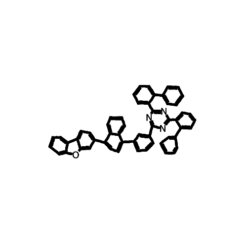 c1ccc(-c2ccccc2-c2nc(-c3cccc(-c4ccc(-c5ccc6c(c5)oc5ccccc56)c5ccccc45)c3)nc(-c3ccccc3-c3ccccc3)n2)cc1